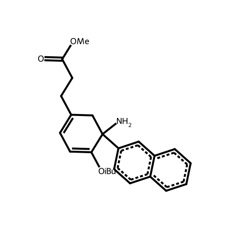 COC(=O)CCC1=CC=C(OCC(C)C)C(N)(c2ccc3ccccc3c2)C1